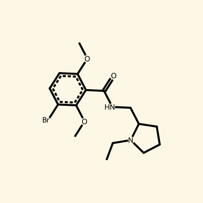 CCN1CCCC1CNC(=O)c1c(OC)ccc(Br)c1OC